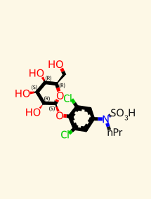 CCCN(c1cc(Cl)c(O[C@@H]2O[C@H](CO)[C@H](O)[C@H](O)[C@H]2O)c(Cl)c1)S(=O)(=O)O